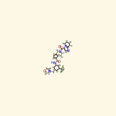 O=C(Nc1cc(CN2CC3CC2CO3)cc(C(F)(F)F)c1)c1csc2c1CCN(C(=O)c1cnc3ccccn13)C2